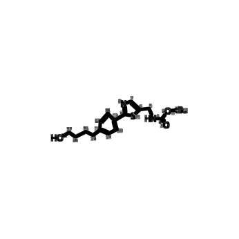 CC(C)(C)OC(=O)NCc1cnc(-c2ccc(CCCCO)cc2)s1